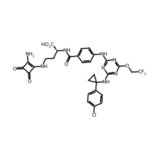 Nc1c(NCC[C@H](NC(=O)c2ccc(Nc3nc(NC4(c5ccc(Cl)cc5)CC4)nc(OCC(F)(F)F)n3)cc2)C(=O)O)c(=O)c1=O